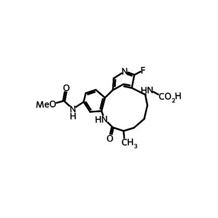 COC(=O)Nc1ccc2c(c1)NC(=O)C(C)CCC[C@H](NC(=O)O)c1cc-2cnc1F